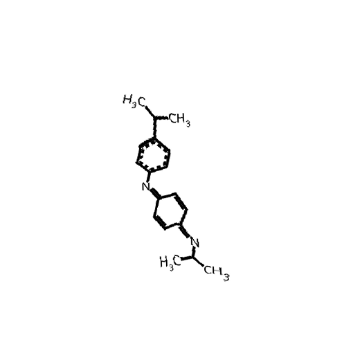 CC(C)N=C1C=CC(=Nc2ccc(C(C)C)cc2)C=C1